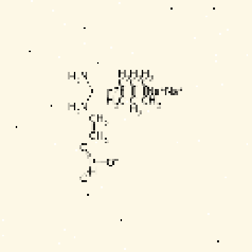 C=C.C=C.C=C.C=C.CCCC(N)N.O=[PH]([O-])[O-].[Na+].[Na+]